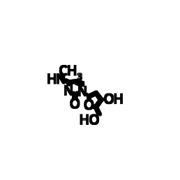 CNc1ccn([C@H]2C[C@@H](O)C(CO)O2)c(=O)n1